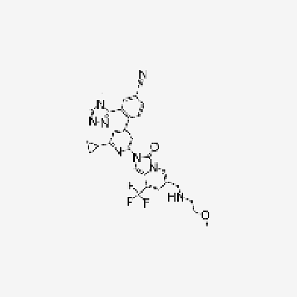 COCCNCc1cc(C(F)(F)F)c2cn(-c3cc(-c4ccc(C#N)cc4-c4nncn4C)cc(C4CC4)n3)c(=O)n2c1